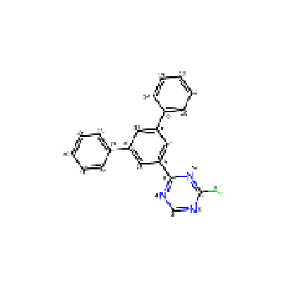 Clc1ncnc(-c2cc(-c3ccccc3)cc(-c3ccccc3)c2)n1